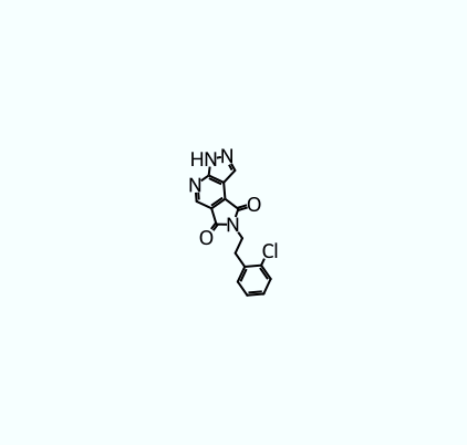 O=C1c2cnc3[nH]ncc3c2C(=O)N1CCc1ccccc1Cl